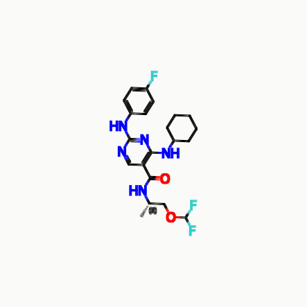 C[C@@H](COC(F)F)NC(=O)c1cnc(Nc2ccc(F)cc2)nc1NC1CCCCC1